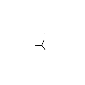 CCC(CC)CC.Cl.Cl